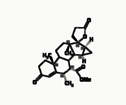 COC(=O)[C@H]1C2C(CC[C@@]3(C)C2[C@@H]2C[C@@H]2[C@]32CCC(=O)O2)[C@@]2(C)CCC(=O)C=C2[C@H]1C